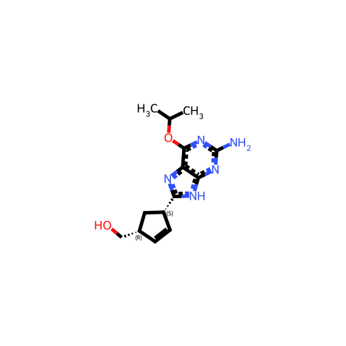 CC(C)Oc1nc(N)nc2[nH]c([C@@H]3C=C[C@H](CO)C3)nc12